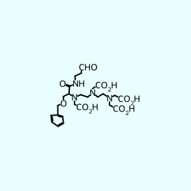 O=CCCNC(=O)C(COCc1ccccc1)N(CCN(CCN(CC(=O)O)CC(=O)O)CC(=O)O)CC(=O)O